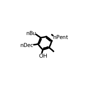 CCCCCC.CCCCCCCCCCc1c(CCCC)ccc(C)c1O